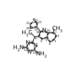 Cc1cccc2cc(C(C)c3nc(N)nc(N)n3)c(-c3ccsc3)nc12